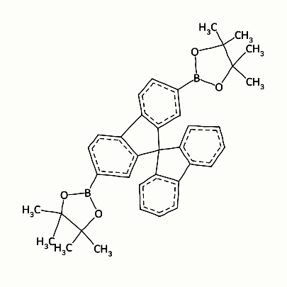 CC1(C)OB(c2ccc3c(c2)C2(c4ccccc4-c4ccccc42)c2cc(B4OC(C)(C)C(C)(C)O4)ccc2-3)OC1(C)C